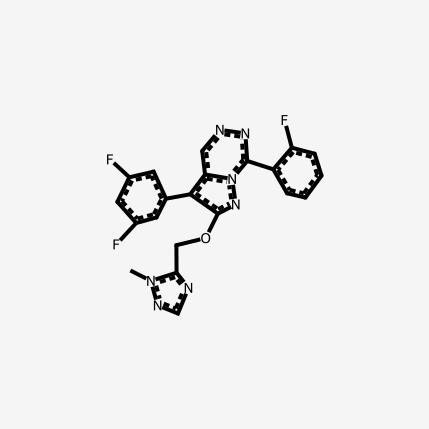 Cn1ncnc1COc1nn2c(-c3ccccc3F)nncc2c1-c1cc(F)cc(F)c1